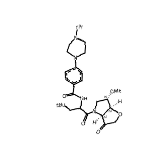 CCCN1CCN(c2ccc(C(=O)NC(CC(C)(C)C)C(=O)N3C[C@H](OC)[C@H]4OCC(=O)[C@H]43)cc2)CC1